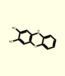 N#Cc1cc2c(cc1C#N)Oc1ccccc1N2